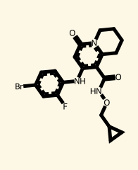 O=C(NOCC1CC1)c1c(Nc2ccc(Br)cc2F)cc(=O)n2c1CCCC2